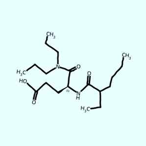 CCCCC(CC)C(=O)N[C@@H](CCC(=O)O)C(=O)N(CCC)CCC